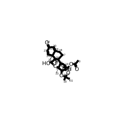 CC(=O)OCC(=O)[C@@]12OC(C)(I)O[C@@H]1CC1C3CCC4=CC(=O)C=C[C@]4(C)[C@@]3(F)[C@@H](O)C[C@@]12C